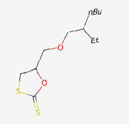 CCCCC(CC)COCC1CSC(=S)O1